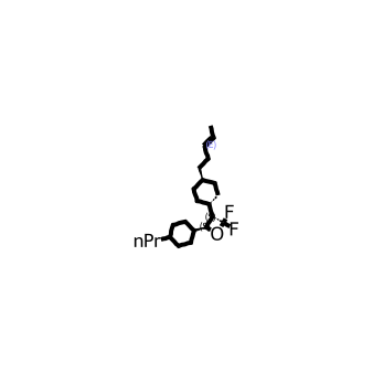 C/C=C/CC[C@H]1CC[C@H]([C@H]2[C@H](C3CCC(CCC)CC3)OC2(F)F)CC1